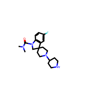 CN(C)C(=O)N1CC2(CCN(C3CCNCC3)CC2)c2cc(F)ccc21